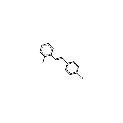 Cc1ccccc1C=Cc1ccc(Cl)cc1